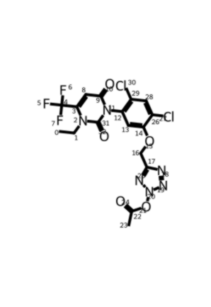 CCn1c(C(F)(F)F)cc(=O)n(-c2cc(OCc3nnn(OC(C)=O)n3)c(Cl)cc2Cl)c1=O